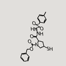 Cc1ccc(S(=O)(=O)NNC(=O)C2CC(S)CN2C(=O)OCc2ccccc2)cc1